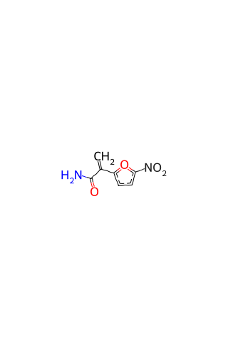 C=C(C(N)=O)c1ccc([N+](=O)[O-])o1